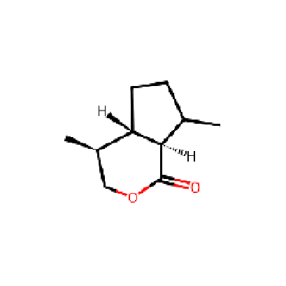 CC1CC[C@H]2[C@H](C)COC(=O)[C@H]12